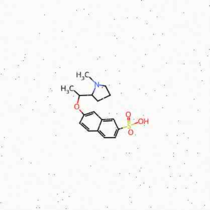 CC(Oc1ccc2ccc(S(=O)(=O)O)cc2c1)C1CCCN1C